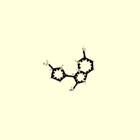 CC(C)(C)c1nc2ccc(Cl)nn2c1-c1ccc(C(F)(F)F)s1